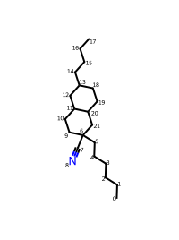 CCCCCCC1(C#N)CCC2CC(CCCC)CCC2C1